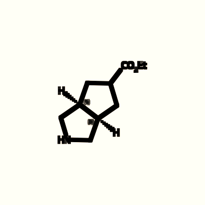 CCOC(=O)C1C[C@H]2CNC[C@H]2C1